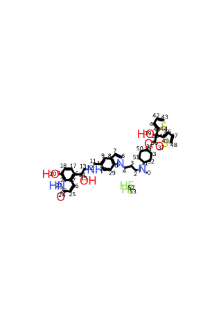 CN(CCCn1ccc2cc(CNC[C@@H](O)c3ccc(O)c4[nH]c(=O)ccc34)ccc21)C1CCC(OC(=O)C(O)(c2cccs2)c2cccs2)CC1.F.F